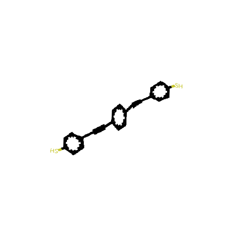 Sc1ccc(C#Cc2ccc(C#Cc3ccc(S)cc3)cc2)cc1